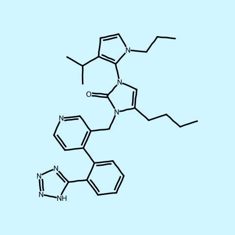 CCCCc1cn(-c2c(C(C)C)ccn2CCC)c(=O)n1Cc1cnccc1-c1ccccc1-c1nnn[nH]1